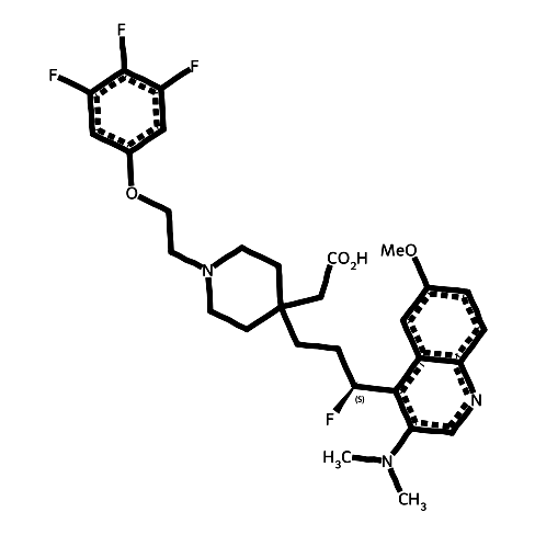 COc1ccc2ncc(N(C)C)c([C@@H](F)CCC3(CC(=O)O)CCN(CCOc4cc(F)c(F)c(F)c4)CC3)c2c1